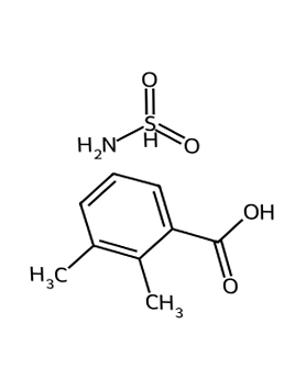 Cc1cccc(C(=O)O)c1C.N[SH](=O)=O